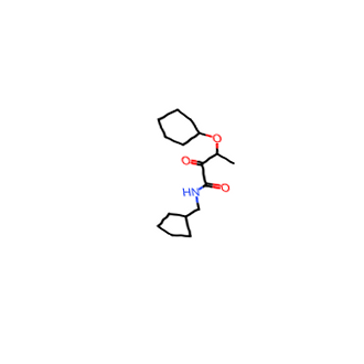 CC(OC1CCCCC1)C(=O)C(=O)NCC1CCCC1